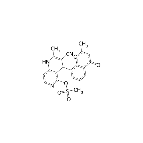 CC1=C(C#N)C(c2cccc3c(=O)cc(C)oc23)c2c(ccnc2OS(C)(=O)=O)N1